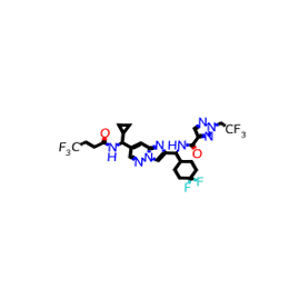 O=C(CCC(F)(F)F)NC(c1cnn2cc([C@@H](NC(=O)c3cnn(CC(F)(F)F)n3)C3CCC(F)(F)CC3)nc2c1)C1CC1